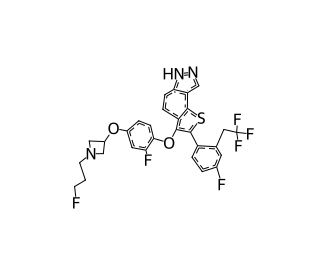 FCCCN1CC(Oc2ccc(Oc3c(-c4ccc(F)cc4CC(F)(F)F)sc4c3ccc3[nH]ncc34)c(F)c2)C1